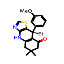 CC[C@@]1(c2cccc(OC)c2)C2=C(CC(C)(C)CC2=O)Nc2ncsc21